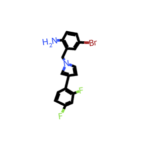 Nc1ccc(Br)cc1Cn1ccc(-c2ccc(F)cc2F)c1